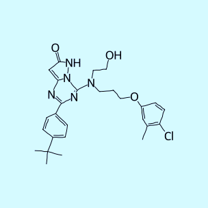 Cc1cc(OCCCN(CCO)c2nc(-c3ccc(C(C)(C)C)cc3)nc3cc(=O)[nH]n23)ccc1Cl